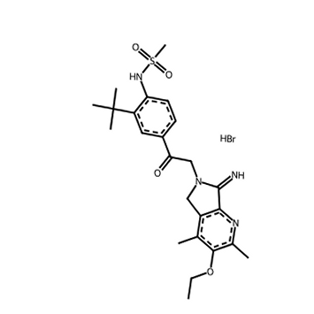 Br.CCOc1c(C)nc2c(c1C)CN(CC(=O)c1ccc(NS(C)(=O)=O)c(C(C)(C)C)c1)C2=N